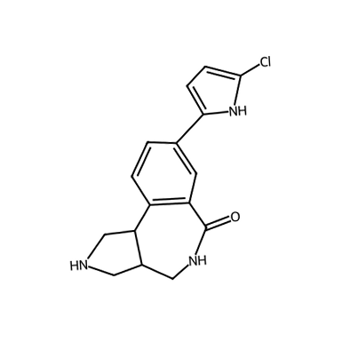 O=C1NCC2CNCC2c2ccc(-c3ccc(Cl)[nH]3)cc21